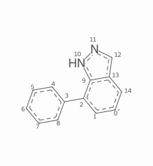 [c]1cc(-c2ccccc2)c2[nH]ncc2c1